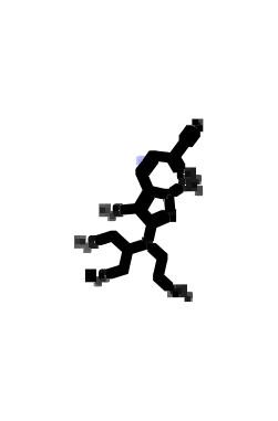 C=C(C#N)/C=C\c1c(C)c(N(CCN)C(CC)CC)nn1C